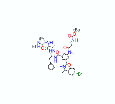 CCNC(=O)[C@@H](NC(=O)[C@H](C)NC[C@H](Cc1ccccc1)NC(=O)c1cc(C(=O)N[C@H](C)c2ccc(Br)cc2)cc(N(C)C(=O)CCNC(=O)OC(C)(C)C)c1)C(C)C